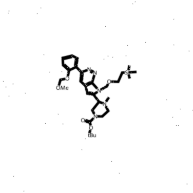 COCOc1ccccc1-c1cc2cc(C3CN(C(=O)OC(C)(C)C)CCN3C)n(COCC[Si](C)(C)C)c2nn1